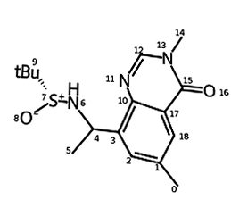 Cc1cc(C(C)N[S@+]([O-])C(C)(C)C)c2ncn(C)c(=O)c2c1